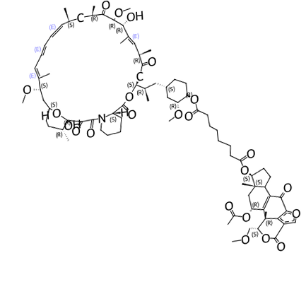 COC[C@H]1OC(=O)c2coc3c2[C@@]1(C)C1=C(C3=O)C2CC[C@H](OC(=O)CCCCCCC(=O)O[C@@H]3CC[C@@H](C[C@@H](C)[C@@H]4CC(=O)[C@H](C)/C=C(\C)[C@@H](O)[C@@H](OC)C(=O)[C@H](C)C[C@H](C)/C=C/C=C/C=C(\C)[C@@H](OC)C[C@@H]5CC[C@@H](C)[C@@](O)(O5)C(=O)C(=O)N5CCCC[C@H]5C(=O)O4)C[C@H]3OC)[C@@]2(C)C[C@H]1OC(C)=O